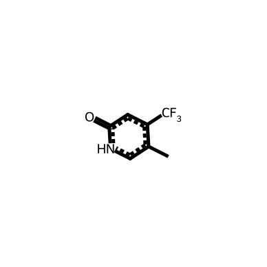 Cc1c[nH]c(=O)cc1C(F)(F)F